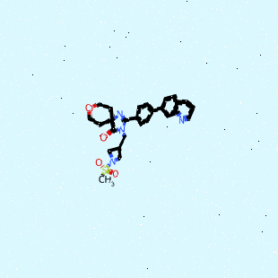 CS(=O)(=O)N1CC(CN2C(=O)C3(CCOCC3)N=C2c2ccc(-c3ccc4cccnc4c3)cc2)C1